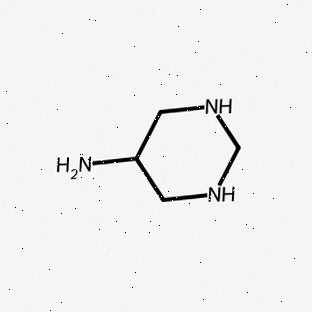 NC1CNCNC1